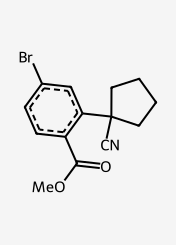 COC(=O)c1ccc(Br)cc1C1(C#N)CCCC1